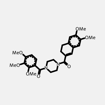 COc1cc2c(cc1OC)CCC(C(=O)N1CCN(C(=O)c3ccc(OC)c(OC)c3OC)CC1)=C2